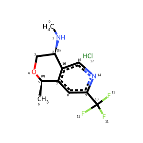 CN[C@@H]1CO[C@H](C)c2cc(C(F)(F)F)ncc21.Cl